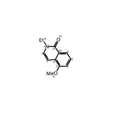 CCn1ccc2c(OC)cccc2c1=O